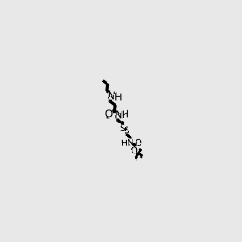 CCCNCCC(=O)NCCSSCCNC(=O)OC(C)(C)C